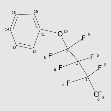 FC(F)(F)C(F)(F)C(F)(F)C(F)(F)Oc1[c]cccc1